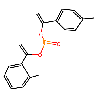 C=C(O[PH](=O)OC(=C)c1ccccc1C)c1ccc(C)cc1